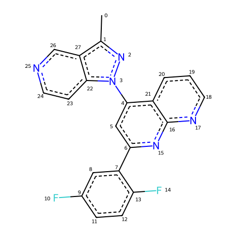 Cc1nn(-c2cc(-c3cc(F)ccc3F)nc3ncccc23)c2ccncc12